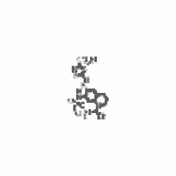 CCOC(=O)c1nnc(N=Nc2cc3c(cc2NS(=O)(=O)CC(F)(F)F)N(C(CC)CC)CCC3)s1